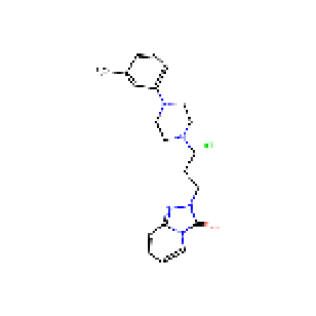 Cl.O=c1n(CCCN2CCN(c3cccc(C(F)(F)F)c3)CC2)nc2ccccn12